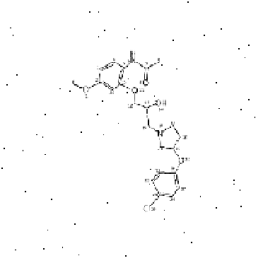 COc1ccc(NC(C)=O)c(OCC(O)CN2CCC(Oc3ccc(Cl)cc3)C2)c1